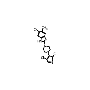 Cc1cc2nc(N3CCN(c4c(Cl)cncc4Cl)CC3)[nH]c2cc1Cl